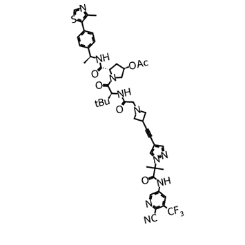 CC(=O)O[C@@H]1C[C@@H](C(=O)N[C@@H](C)c2ccc(-c3scnc3C)cc2)N(C(=O)[C@@H](NC(=O)CN2CC(C#Cc3cnn(C(C)(C)C(=O)Nc4cnc(C#N)c(C(F)(F)F)c4)c3)C2)C(C)(C)C)C1